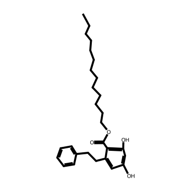 CCCCCCCCCCCCCOC(=O)c1c(O)cc(O)cc1CCc1ccccc1